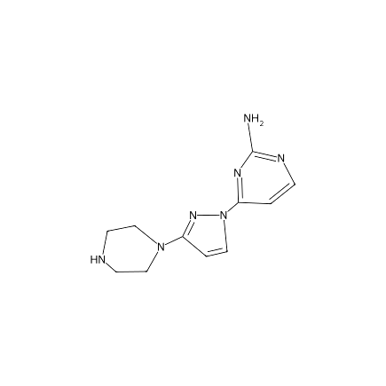 Nc1nccc(-n2ccc(N3CCNCC3)n2)n1